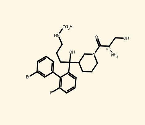 CCc1cccc(-c2c(F)cccc2C(O)(CCCNC(=O)O)C2CCCN(C(=O)[C@@H](N)CO)C2)c1